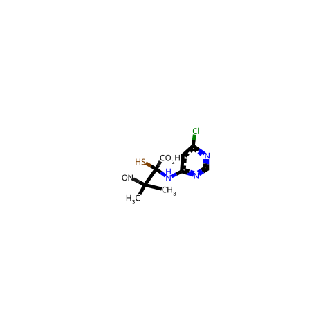 CC(C)(N=O)C(S)(Nc1cc(Cl)ncn1)C(=O)O